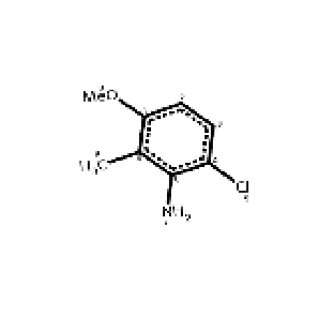 COc1ccc(Cl)c(N)c1C